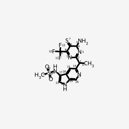 CC(C1=NC(N)C(=S)C(C(F)(F)F)=N1)c1cc2c(NS(C)(=O)=O)c[nH]c2cn1